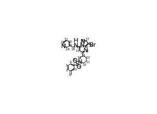 Cc1cccc(S(=O)(=O)N2CCCC(c3cc(NCc4cccnc4)n4ncc(Br)c4n3)C2)c1